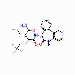 CCC[C@H](C(N)=O)[C@@H](CCC(F)(F)F)C(=O)N[C@@H]1C(=O)Nc2ccccc2-c2ccccc21